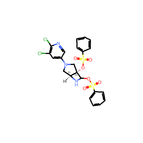 O=S(=O)(OC1N[C@H]2CN(c3cnc(Cl)c(Cl)c3)C[C@@]12OS(=O)(=O)c1ccccc1)c1ccccc1